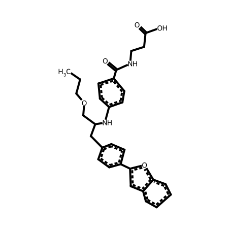 CCCOCC(Cc1ccc(-c2cc3ccccc3o2)cc1)Nc1ccc(C(=O)NCCC(=O)O)cc1